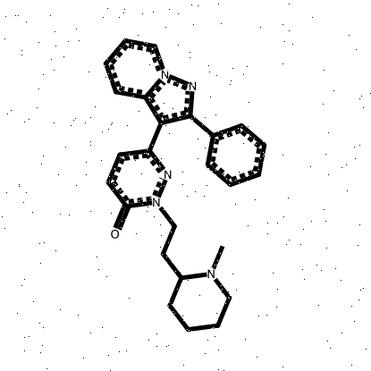 CN1CCCCC1CCn1nc(-c2c(-c3ccccc3)nn3ccccc23)ccc1=O